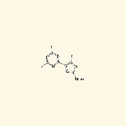 CC(=O)Nc1nc(C)c(-c2nc(C)cc(C)n2)s1